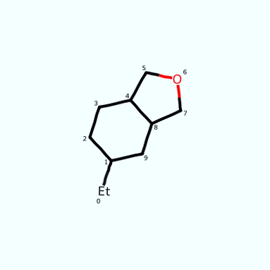 CCC1CCC2COCC2C1